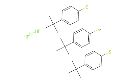 CC(C)(C)c1ccc([S])cc1.CC(C)(C)c1ccc([S])cc1.CC(C)(C)c1ccc([S])cc1.F.F.F